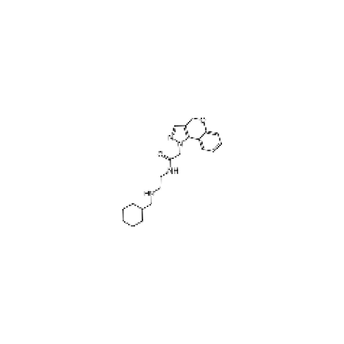 O=C(Cn1ncc2c1-c1ccccc1OC2)NCCNCC1CCCCC1